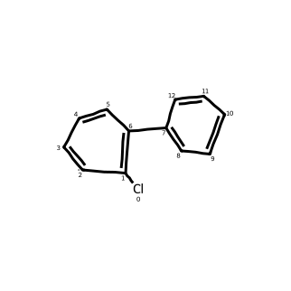 Clc1[c]cccc1-c1ccccc1